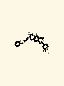 Cc1cc(C2=NNc3cc4c(cc3C2)CN(CCNCc2ccccc2)C(=O)N4)ccn1